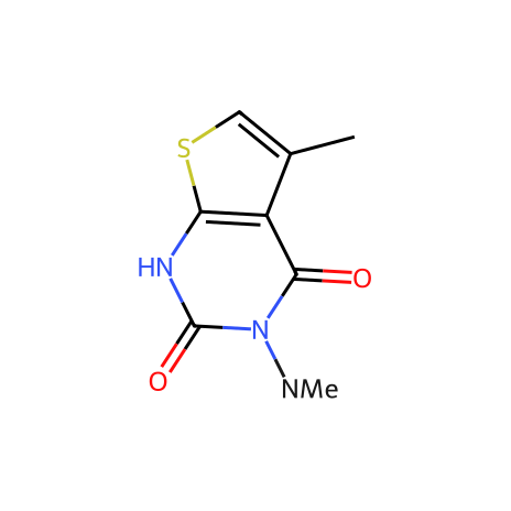 CNn1c(=O)[nH]c2scc(C)c2c1=O